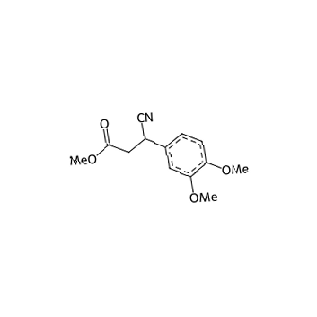 COC(=O)CC(C#N)c1ccc(OC)c(OC)c1